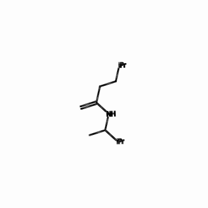 C=C(CCC(C)C)NC(C)C(C)C